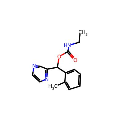 CCNC(=O)OC(c1cnccn1)c1ccccc1C